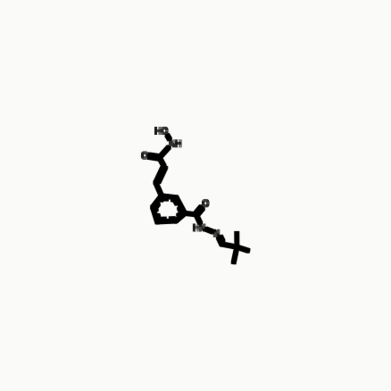 CC(C)(C)/C=N/NC(=O)c1cccc(/C=C/C(=O)NO)c1